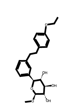 CCOc1ccc(CCc2cccc([C@@H]3O[C@H](OC)[C@@H](O)[C@H](O)[C@H]3O)c2)cc1